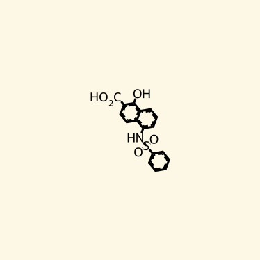 O=C(O)c1ccc2c(NS(=O)(=O)c3ccccc3)cccc2c1O